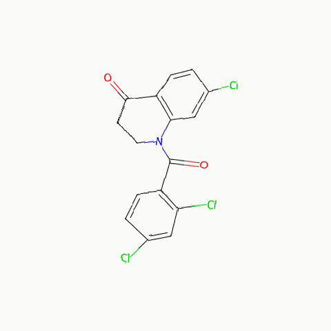 O=C1CCN(C(=O)c2ccc(Cl)cc2Cl)c2cc(Cl)ccc21